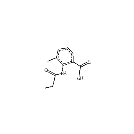 CCC(=O)Nc1c(C)cccc1C(=O)O